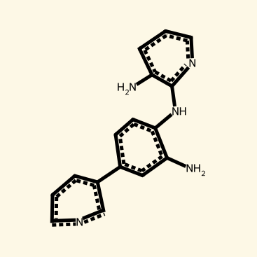 Nc1cc(-c2cccnc2)ccc1Nc1ncccc1N